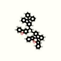 c1ccc(C2(c3ccccc3)c3ccccc3-c3cc(C(CCc4ccc5c(c4)C4(c6ccccc6-5)c5ccc6ccccc6c5Oc5c4ccc4ccccc54)c4ccc5oc6ccccc6c5c4)ccc32)cc1